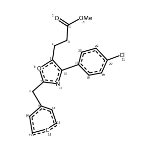 COC(=O)CCc1oc(Cc2ccccc2)nc1-c1ccc(Cl)cc1